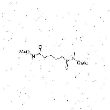 CON(C)C(=O)CCCCC(=O)N(C)OC